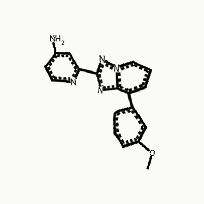 COc1cccc(-c2cccn3nc(-c4cc(N)ccn4)nc23)c1